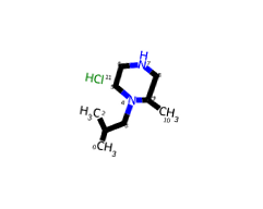 CC(C)CN1CCNCC1C.Cl